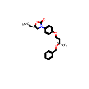 COC[C@H]1CN(c2ccc(OCC[C@@H](OCc3ccccc3)C(F)(F)F)cc2)C(=O)O1